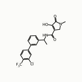 CC(NC(=O)C1=C(O)C(=O)N(C)C1)c1cccc(-c2ccc(C(F)(F)F)c(Cl)c2)c1